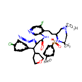 COc1ccc(S(=O)(=O)N2C(C)CN(C(=O)O)CC2CCc2c(F)cncc2NC(=O)C(N=[N+]=[N-])C(c2ccc(Cl)cc2)C2CCOCC2)cc1